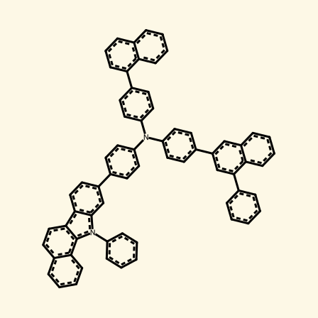 c1ccc(-c2cc(-c3ccc(N(c4ccc(-c5ccc6c7ccc8ccccc8c7n(-c7ccccc7)c6c5)cc4)c4ccc(-c5cccc6ccccc56)cc4)cc3)cc3ccccc23)cc1